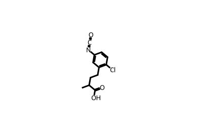 CC(CCc1cc(N=C=O)ccc1Cl)C(=O)O